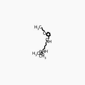 CCCCOc1cccc(CONCCCCCNS(=O)(=O)C(C)C)c1